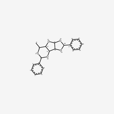 CC1OC(c2ccccc2)OC2C1OC1OC(c3ccccc3)OC12